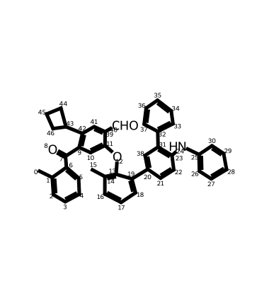 Cc1ccccc1C(=O)c1cc(Oc2c(C)cccc2-c2ccc(Nc3ccccc3)c(-c3ccccc3)c2)c(C=O)cc1C1CCC1